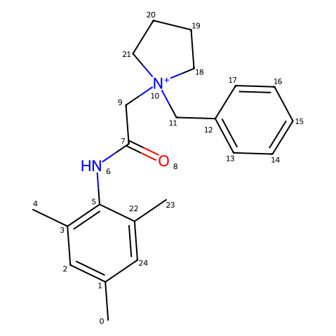 Cc1cc(C)c(NC(=O)C[N+]2(Cc3ccccc3)CCCC2)c(C)c1